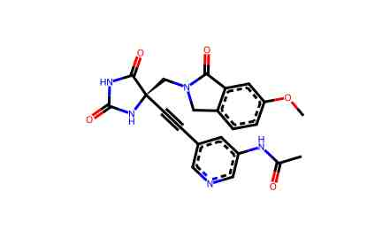 COc1ccc2c(c1)C(=O)N(C[C@@]1(C#Cc3cncc(NC(C)=O)c3)NC(=O)NC1=O)C2